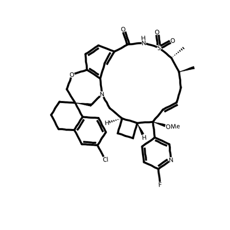 CO[C@]1(c2ccc(F)nc2)/C=C/C[C@H](C)[C@@H](C)S(=O)(=O)NC(=O)c2ccc3c(c2)N(C[C@@H]2CC[C@H]21)C[C@@]1(CCCc2cc(Cl)ccc21)CO3